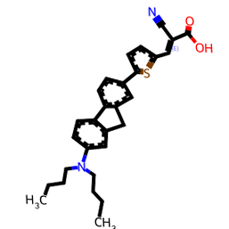 CCCCN(CCCC)c1ccc2c(c1)Cc1cc(-c3ccc(/C=C(\C#N)C(=O)O)s3)ccc1-2